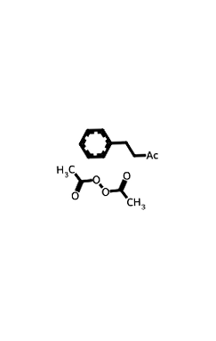 CC(=O)CCc1ccccc1.CC(=O)OOC(C)=O